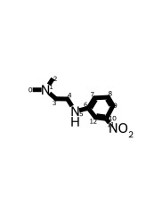 CN(C)CCNc1cccc([N+](=O)[O-])c1